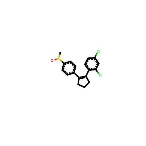 C[S+]([O-])c1ccc(C2=C(c3ccc(Cl)cc3Cl)CCC2)cc1